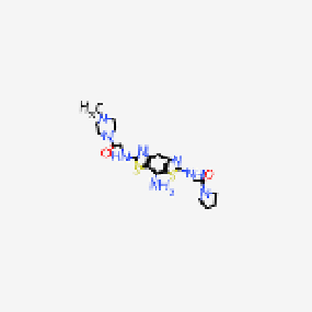 CN1CCN(C(=O)CNc2nc3cc4nc(NCC(=O)N5CCCC5)sc4c(N)c3s2)CC1